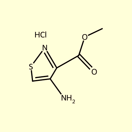 COC(=O)c1nscc1N.Cl